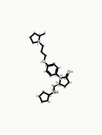 CC1CCCN1CCCOc1ccc(N2C(=O)CC[C@H]2CNC2CCCC2)cc1